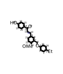 CCc1ccc(OCc2cc(/C=C/C(=O)c3ccc(O)cc3)ccc2OC)cc1